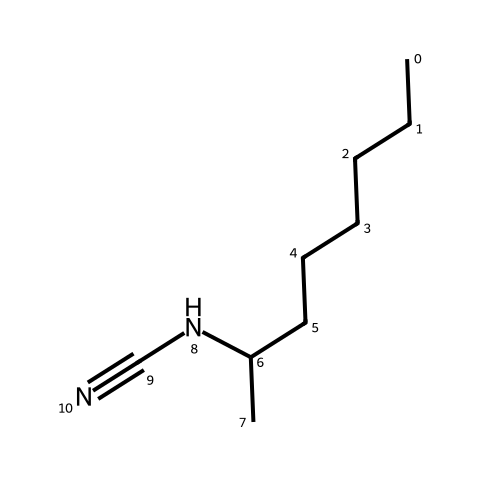 CCCCCCC(C)NC#N